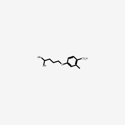 CCCCC(CCC)CCCOc1ccc(C(=O)O)c(C)c1